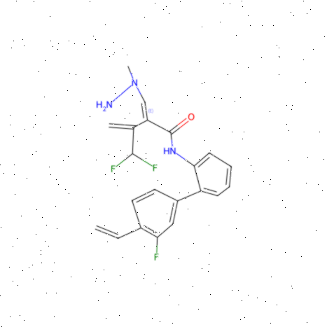 C=Cc1ccc(-c2ccccc2NC(=O)/C(=C/N(C)N)C(=C)C(F)F)cc1F